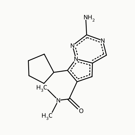 CN(C)C(=O)c1cc2cnc(N)nn2c1C1CCCC1